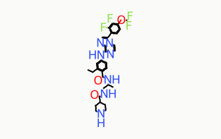 CCc1cc(Nc2nccn3c(-c4ccc(OC(F)F)c(F)c4F)cnc23)ccc1C(=O)NC(C)CNC(=O)C1CCNCC1